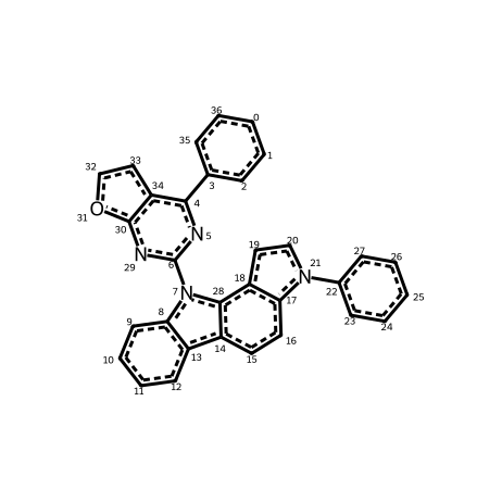 c1ccc(-c2nc(-n3c4ccccc4c4ccc5c(ccn5-c5ccccc5)c43)nc3occc23)cc1